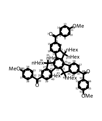 CCCCCCC1(CCCCCC)c2cc(C(=O)c3ccc(OC)cc3)ccc2-c2c1c1c(c3c2C(CCCCCC)(CCCCCC)c2cc(C(=O)c4ccc(OC)cc4)ccc2-3)C(CCCCCC)(CCCCCC)c2cc(C(=O)c3ccc(OC)cc3)ccc2-1